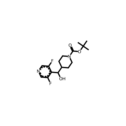 CC(C)(C)OC(=O)N1CCC(C(O)c2c(F)cncc2F)CC1